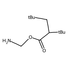 CC(C)(C)CC(C(=O)OCN)C(C)(C)C